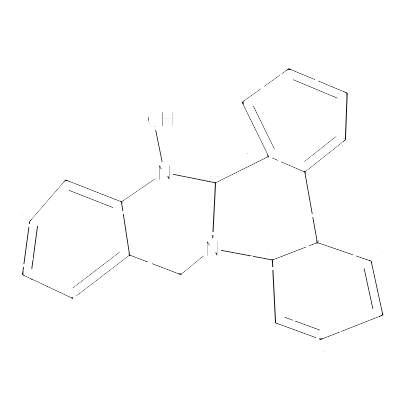 CN1c2ccccc2CN2C3C=CC=CC3c3ccccc3C12